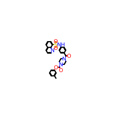 Cc1cccc(OC(=O)N2CCN(C(=O)c3ccc(NS(=O)(=O)c4cccc5cccnc45)cc3)CC2)c1